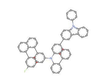 Fc1cccc(-c2cccc3cccc(-c4cccc(N(c5ccc(-c6ccc7c(c6)c6ccccc6n7-c6ccccc6)cc5)c5ccccc5-c5ccccc5)c4)c23)c1